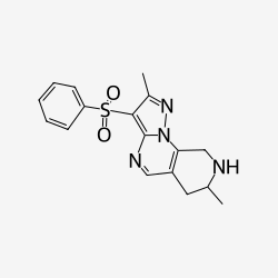 Cc1nn2c3c(cnc2c1S(=O)(=O)c1ccccc1)CC(C)NC3